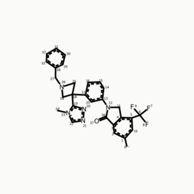 [CH2]c1cc2c(c(C(F)(F)F)c1)CN(c1cccc(C3(c4nncn4C)CN(Cc4ccccc4)C3)c1)C2=O